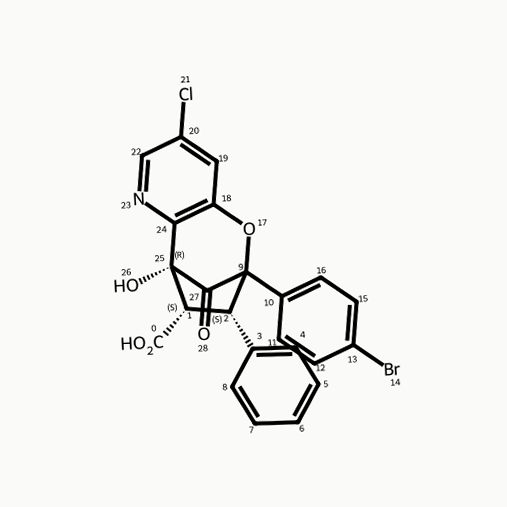 O=C(O)[C@H]1[C@@H](c2ccccc2)C2(c3ccc(Br)cc3)Oc3cc(Cl)cnc3[C@@]1(O)C2=O